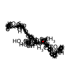 Cc1c(-c2ccc(N3CCc4cccc(C(=O)Nc5nc6ccccc6s5)c4C3)nc2C(=O)O)cnn1CC12CC3(C)CC(C)(C1)CC(OCCN(C)C(=O)OCc1ccc(OCCOCCNC(=O)[C@H](CS(=O)(=O)O)NC(=O)CCCCCN4C(=O)C=CC4=O)cc1O[C@@H]1O[C@H](C(=O)O)[C@@H](O)[C@H](O)[C@H]1O)(C3)C2